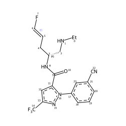 CCNC[C@@H](C/C=C/F)NC(=O)c1cc(C(F)(F)F)nn1-c1cccc(C#N)c1